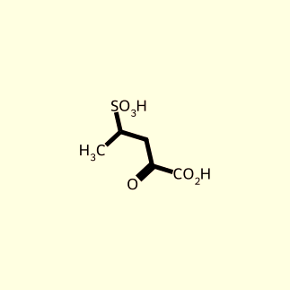 CC(CC(=O)C(=O)O)S(=O)(=O)O